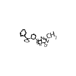 Cc1nc(Cl)c2nnn(-c3cccc(C(=O)c4ccccc4)c3)c2n1